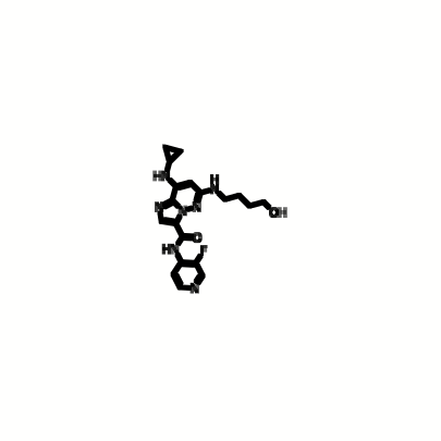 O=C(Nc1ccncc1F)c1cnc2c(NC3CC3)cc(NCCCCO)nn12